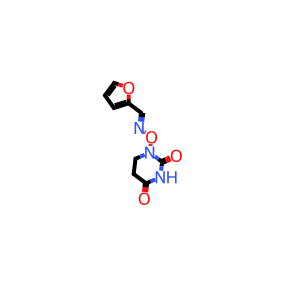 O=C1CCN(ON=Cc2ccco2)C(=O)N1